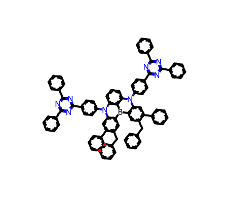 c1ccc(Cc2cc3c(cc2-c2ccccc2)N(c2ccc(-c4nc(-c5ccccc5)nc(-c5ccccc5)n4)cc2)c2cccc4c2B3c2cc(Cc3ccccc3)c(-c3ccccc3)cc2N4c2ccc(-c3nc(-c4ccccc4)nc(-c4ccccc4)n3)cc2)cc1